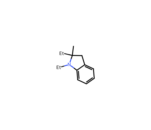 CCN1c2ccccc2CC1(C)CC